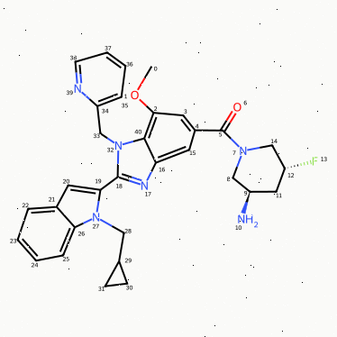 COc1cc(C(=O)N2C[C@H](N)C[C@@H](F)C2)cc2nc(-c3cc4ccccc4n3CC3CC3)n(Cc3ccccn3)c12